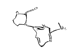 Nc1nccc(N2CCOC2=O)n1